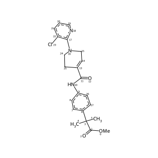 COC(=O)C(C)(C)c1ccc(NC(=O)C2=CCN(c3ncccc3Cl)CC2)cc1